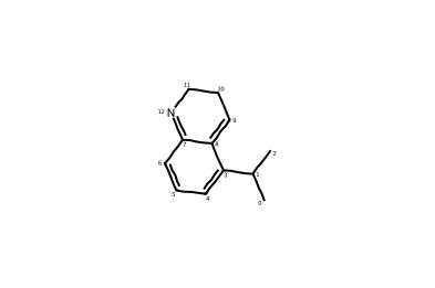 CC(C)c1cccc2c1=CCCN=2